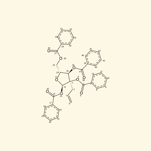 C=CC[C@]1(OC(=O)c2ccccc2)[C@@H](OC(=O)c2ccccc2)O[C@H](COC(=O)c2ccccc2)[C@H]1OC(=O)c1ccccc1